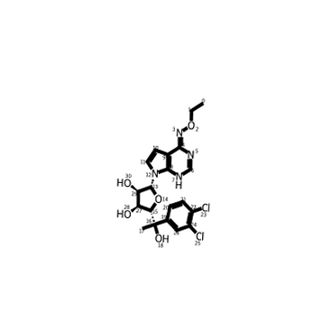 CCON=c1nc[nH]c2c1ccn2[C@@H]1O[C@H](C(C)(O)c2ccc(Cl)c(Cl)c2)[C@@H](O)[C@H]1O